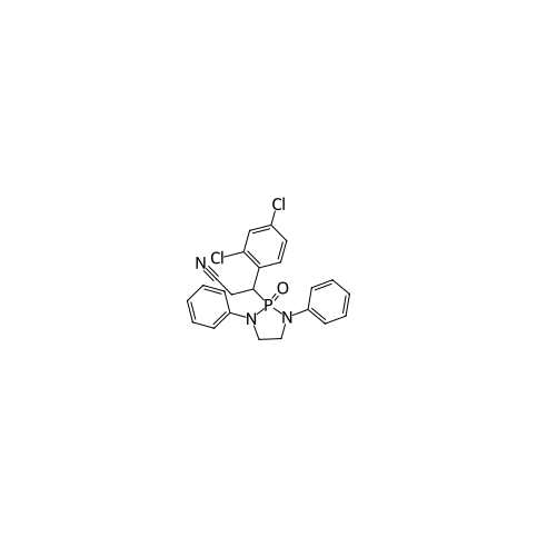 N#CCC(c1ccc(Cl)cc1Cl)P1(=O)N(c2ccccc2)CCN1c1ccccc1